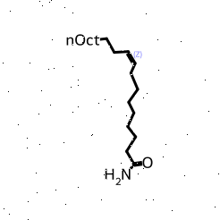 CCCCCCCCCC/C=C\CCCCCCCC(N)=O